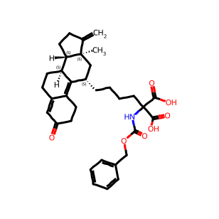 C=C1CC[C@H]2[C@@H]3CCC4=CC(=O)CCC4=C3[C@@H](CCCCC(NC(=O)OCc3ccccc3)(C(=O)O)C(=O)O)C[C@]12C